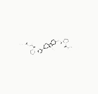 CCCCn1c2cc(NC(=O)[C@@H]3CCCN3C(=O)[C@@H](NC(=O)O)C(C)C)ccc2c2ccc(-c3c[nH]c([C@@H]4CCCN4C(=O)[C@@H](NC(=O)OC)C(C)C)n3)cc21